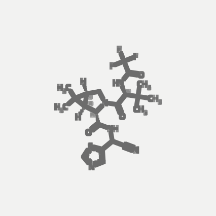 CC(C)(C)[C@H](NC(=O)C(F)(F)F)C(=O)N1C[C@H]2[C@@H]([C@H]1C(=O)NC(C#N)c1cncs1)C2(C)C